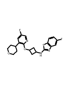 Fc1cnc(OC2CC(Nc3nc4cc(F)ccc4s3)C2)c(C2CCOCC2)c1